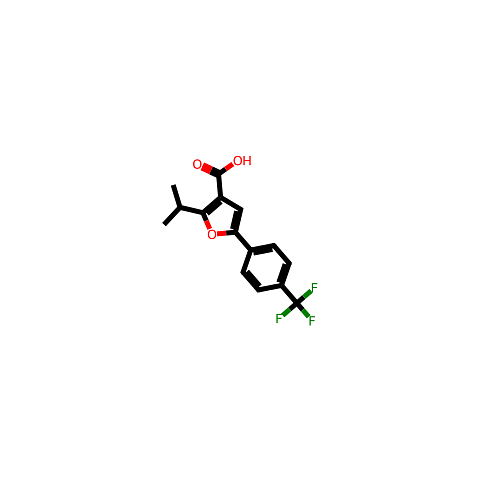 CC(C)c1oc(-c2ccc(C(F)(F)F)cc2)cc1C(=O)O